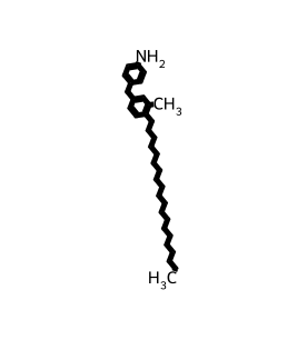 CCCCCCCCCCCCCCCCCCCCc1ccc(Cc2ccc(N)cc2)cc1C